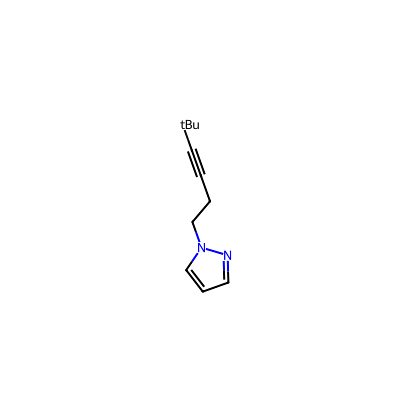 CC(C)(C)C#CCCn1cccn1